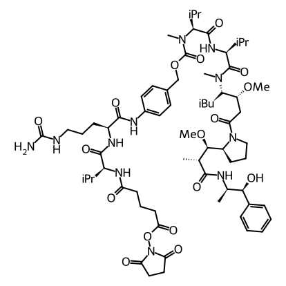 CC[C@H](C)[C@@H]([C@@H](CC(=O)N1CCC[C@H]1[C@H](OC)[C@@H](C)C(=O)N[C@H](C)[C@@H](O)c1ccccc1)OC)N(C)C(=O)[C@@H](NC(=O)[C@H](C(C)C)N(C)C(=O)OCc1ccc(NC(=O)[C@H](CCCNC(N)=O)NC(=O)[C@@H](NC(=O)CCCC(=O)ON2C(=O)CCC2=O)C(C)C)cc1)C(C)C